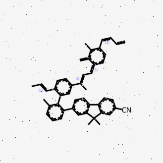 C=C/C=C\c1cc/c(=C/C=C(\C)c2ccc(/C=C/C)c(-c3c(C)cccc3-c3ccc4c(c3)C(C)(C)c3cc(C#N)ccc3-4)c2)c(=C)c1C